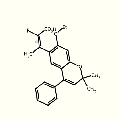 CCOc1cc2c(cc1/C(C)=C(/F)C(=O)O)C(c1ccccc1)=CC(C)(C)O2